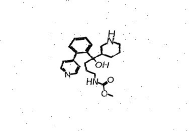 COC(=O)NCCCC(O)(c1ccccc1-c1ccncc1)C1CCCNC1